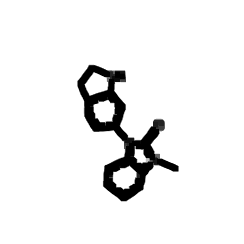 Cn1c(=O)n(-c2ccc3c(c2)NCC3)c2ccccc21